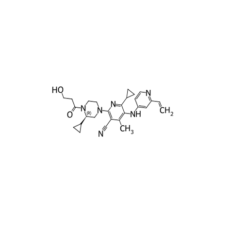 C=Cc1cc(Nc2c(C3CC3)nc(N3CCN(C(=O)CCO)[C@H](C4CC4)C3)c(C#N)c2C)ccn1